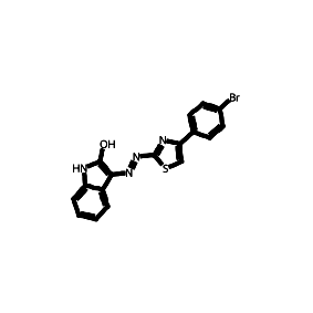 Oc1[nH]c2ccccc2c1/N=N/c1nc(-c2ccc(Br)cc2)cs1